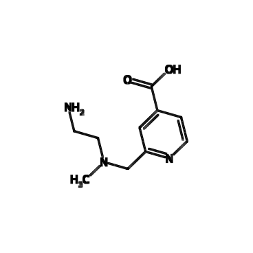 CN(CCN)Cc1cc(C(=O)O)ccn1